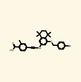 Cc1cc(C#C[Se]c2cc(OCc3ccc(Br)cc3)c3c(c2)C(C)(C)CCC3(C)C)ccc1C(=O)O